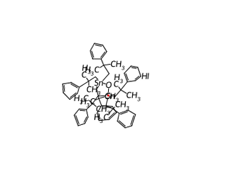 CC(C)([CH2][Sn]([CH2]C(C)(C)c1ccccc1)([CH2]C(C)(C)c1ccccc1)[O][Sn]([CH2]C(C)(C)c1ccccc1)([CH2]C(C)(C)c1ccccc1)[CH2]C(C)(C)c1ccccc1)c1ccccc1.I